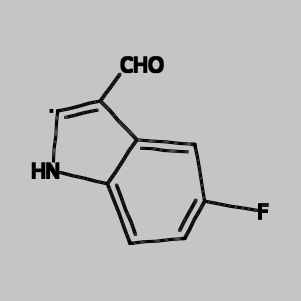 O=Cc1[c][nH]c2ccc(F)cc12